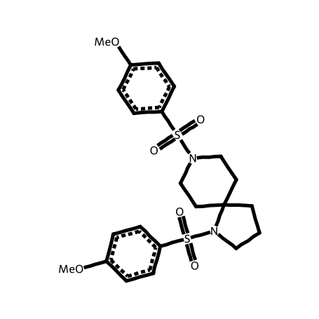 COc1ccc(S(=O)(=O)N2CCC3(CCCN3S(=O)(=O)c3ccc(OC)cc3)CC2)cc1